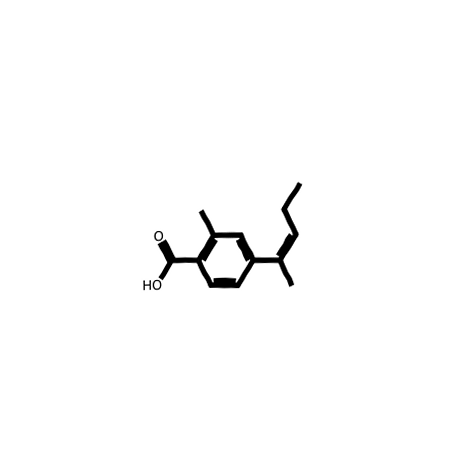 CC/C=C(/C)c1ccc(C(=O)O)c(C)c1